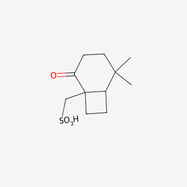 CC1(C)CCC(=O)C2(CS(=O)(=O)O)CCC12